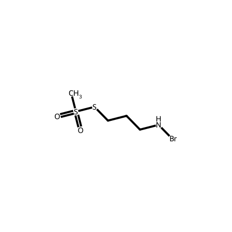 CS(=O)(=O)SCCCNBr